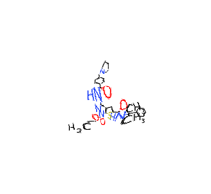 C=CCOC(=O)n1nc(NC(=O)c2ccc(CN3CCCCC3)cc2)c2cc(C(=O)NC(C)(C)c3ccccc3)sc21